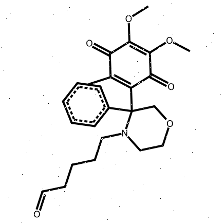 COC1=C(OC)C(=O)C(C2(c3ccccc3)COCCN2CCCCC=O)=C(C)C1=O